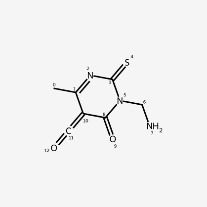 CC1=NC(=S)N(CN)C(=O)C1=C=O